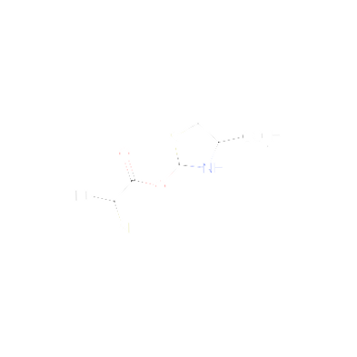 CCC(S)C(=O)OC1NC(C(=O)O)CS1